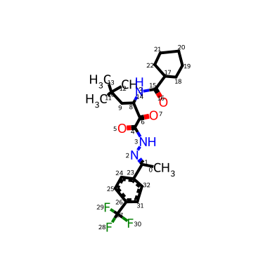 C/C(=N\NC(=O)C(=O)C(CC(C)(C)C)NC(=O)C1CCCCC1)c1ccc(C(F)(F)F)cc1